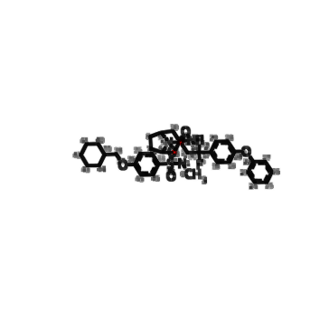 CN([C@H](C(=O)N1C2CCC1CC(N)C2)C(F)(F)c1ccc(Oc2ccccc2)cc1)S(=O)(=O)c1ccc(OCC2CCCCC2)cc1